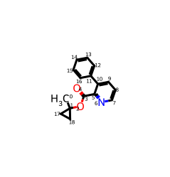 CC1(OC(=O)c2ncccc2-c2ccccc2)CC1